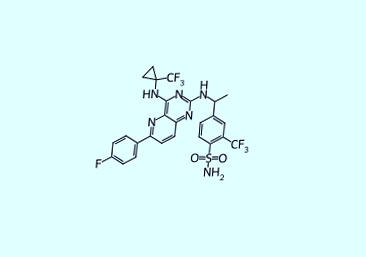 CC(Nc1nc(NC2(C(F)(F)F)CC2)c2nc(-c3ccc(F)cc3)ccc2n1)c1ccc(S(N)(=O)=O)c(C(F)(F)F)c1